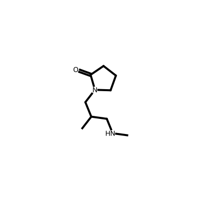 CNCC(C)CN1CCCC1=O